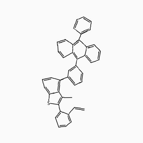 C=Cc1ccccc1-c1sc2cccc(-c3cccc(-c4c5ccccc5c(-c5ccccc5)c5ccccc45)c3)c2c1C